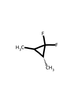 CC1[C@@H](C)C1(F)F